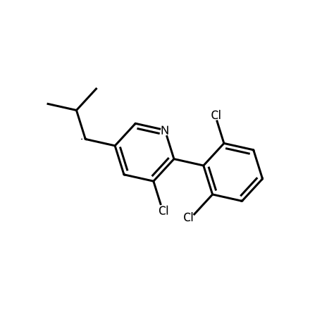 CC(C)[CH]c1cnc(-c2c(Cl)cccc2Cl)c(Cl)c1